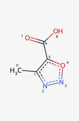 Cc1nnoc1C(=O)O